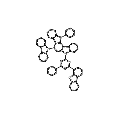 c1ccc(-c2nc(-c3cccc4c3oc3ccccc34)nc(-n3c4ccccc4c4c3cc(-n3c5ccccc5c5ccccc53)c3c5ccccc5n(-c5ccccc5)c34)n2)cc1